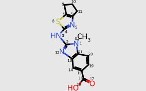 Cn1c(Nc2nc3c(s2)CCC3)nc2cc(C(=O)O)ccc21